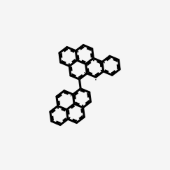 [c]1c2ccccc2c2ccc3cccc4cc(-c5ccc6ccc7cccc8ccc5c6c78)c1c2c34